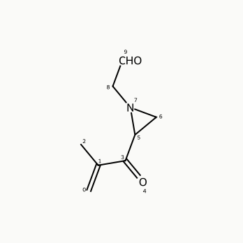 C=C(C)C(=O)C1CN1CC=O